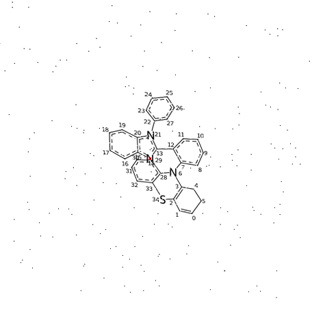 C1=CC2=C(CC1)N(c1ccccc1-c1nc3ccccc3n1-c1ccccc1)c1ccccc1S2